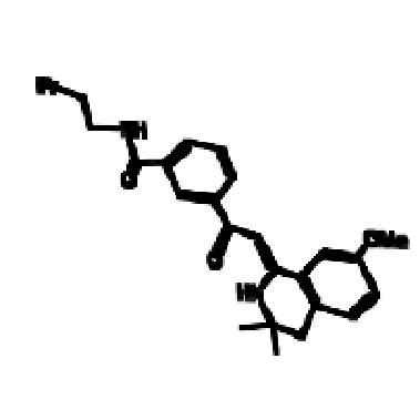 COc1ccc2c(c1)/C(=C/C(=O)c1cccc(C(=O)NCCC(C)C)c1)NC(C)(C)C2